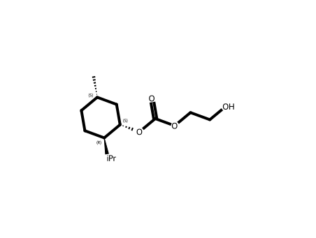 CC(C)[C@H]1CC[C@H](C)C[C@@H]1OC(=O)OCCO